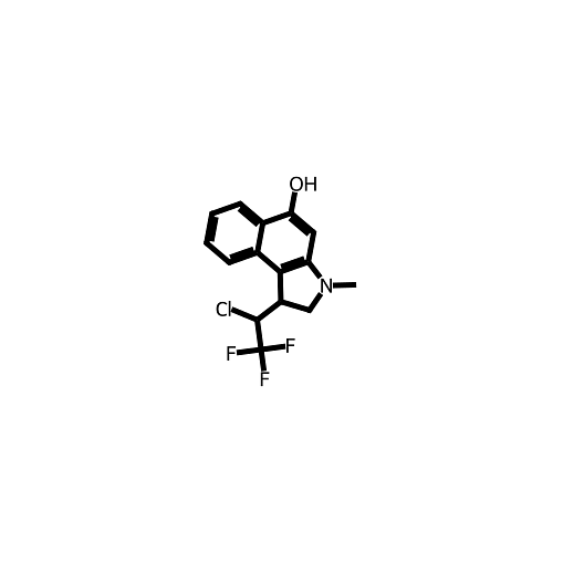 CN1CC(C(Cl)C(F)(F)F)c2c1cc(O)c1ccccc21